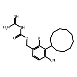 N#Cc1ccc(COC(=O)NC(=N)N)c(F)c1C1CCCCCCCCC1